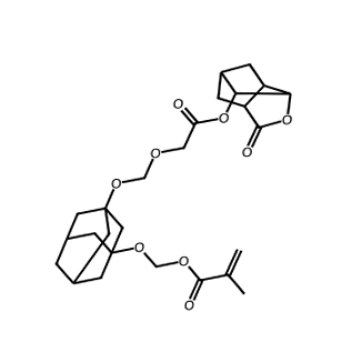 C=C(C)C(=O)OCOC12CC3CC(CC(OCOCC(=O)OC4C5CC6C(=O)OC4C6C5)(C3)C1)C2